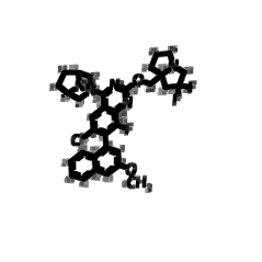 COc1cc(-c2c(Cl)cc3c(N4CC5CCC(C4)N5)nc(OCC45CCCN4CC(F)(F)C5)nc3c2F)c2ccccc2c1